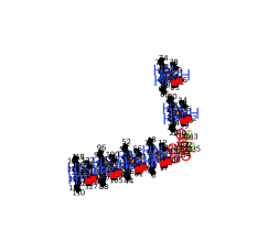 CCCCN(CCCC)[P+](NC(C)C)(NC(C)C)NC(C)C.CCCCN(CCCC)[P+](NC(C)C)(NC(C)C)NC(C)C.CCCCN(CCCC)[P+](NC(C)C)(NC(C)C)NC(C)C.CCCCN(CCCC)[P+](NC(C)C)(NC(C)C)NC(C)C.CCCCN(CCCC)[P+](NC(C)C)(NC(C)C)NC(C)C.CCCCN(CCCC)[P+](NC(C)C)(NC(C)C)NC(C)C.[O-]B([O-])F.[O-]B([O-])F.[O-]B([O-])F